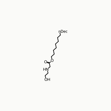 CCCCCCCCCCCCCCCCCCOC(=O)CNCCO